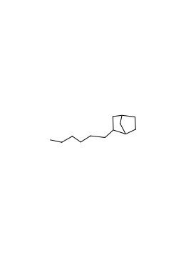 CCCCCCC1CC2CCC1C2